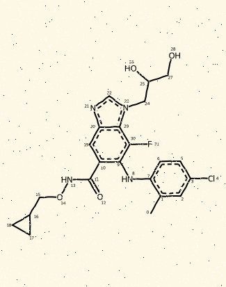 Cc1cc(Cl)ccc1Nc1c(C(=O)NOCC2CC2)cc2ncn(CC(O)CO)c2c1F